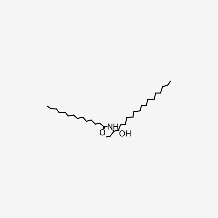 CCCCCCCCCCCCCCCC(O)C(CC)NC(=O)CCCCCCCCCCCCC